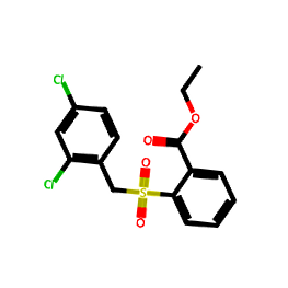 CCOC(=O)c1ccccc1S(=O)(=O)Cc1ccc(Cl)cc1Cl